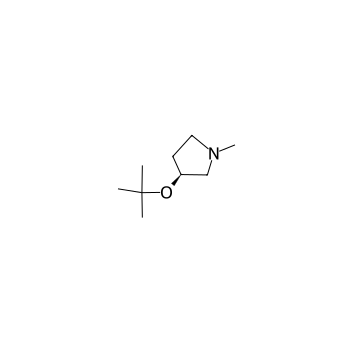 CN1CC[C@H](OC(C)(C)C)C1